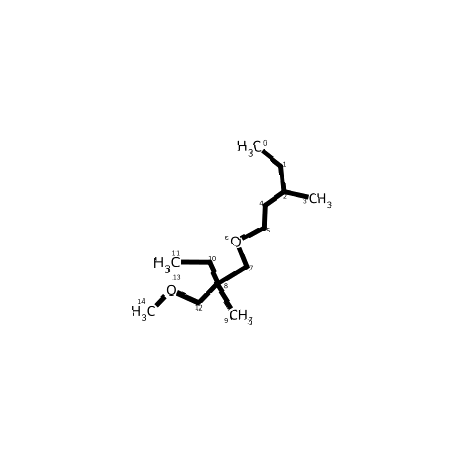 CCC(C)CCOCC(C)(CC)COC